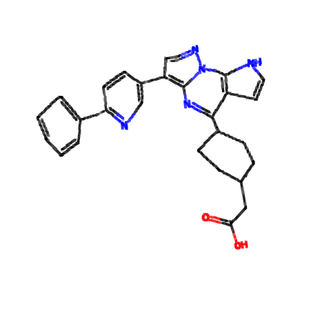 O=C(O)CC1CCC(c2nc3c(-c4ccc(-c5ccccc5)nc4)cnn3c3[nH]ccc23)CC1